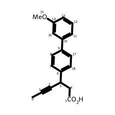 CC#CC(CC(=O)O)c1ccc(-c2cccc(OC)c2)cc1